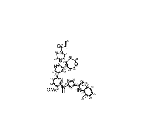 C=CC(=O)N1CCN(c2ncc(-c3ccc(OC)c(Nc4ncc(C(=O)Nc5c(C)cccc5Cl)s4)n3)cc2N2CCCOCC2)CC1